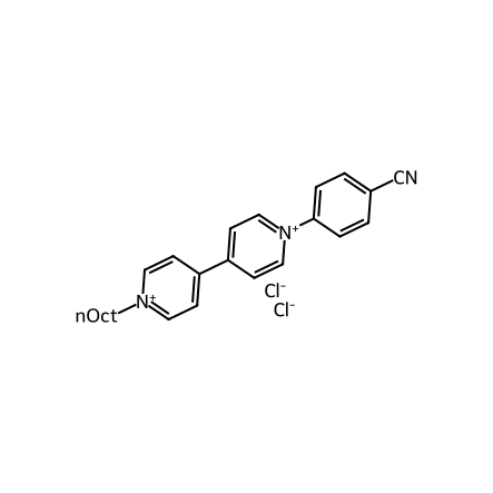 CCCCCCCC[n+]1ccc(-c2cc[n+](-c3ccc(C#N)cc3)cc2)cc1.[Cl-].[Cl-]